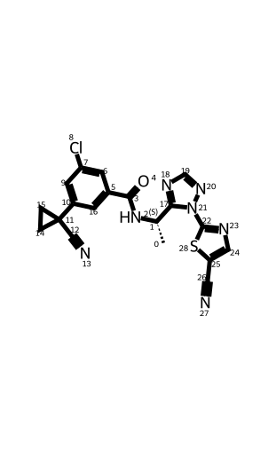 C[C@H](NC(=O)c1cc(Cl)cc(C2(C#N)CC2)c1)c1ncnn1-c1ncc(C#N)s1